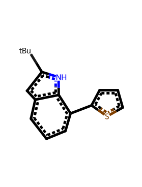 CC(C)(C)c1cc2cccc(-c3cccs3)c2[nH]1